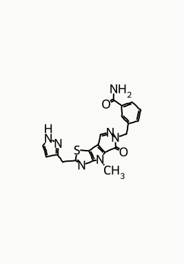 Cn1c2nc(Cc3cc[nH]n3)sc2c2cnn(Cc3cccc(C(N)=O)c3)c(=O)c21